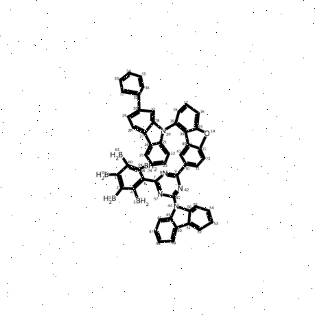 Bc1c(B)c(B)c(-c2nc(-c3ccc4oc5cccc(-n6c7ccccc7c7ccc(-c8ccccc8)cc76)c5c4c3)nc(-n3c4ccccc4c4ccccc43)n2)c(B)c1B